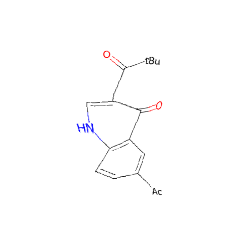 CC(=O)c1ccc2[nH]cc(C(=O)C(C)(C)C)c(=O)c2c1